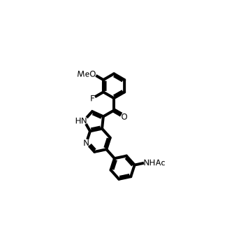 COc1cccc(C(=O)c2c[nH]c3ncc(-c4cccc(NC(C)=O)c4)cc23)c1F